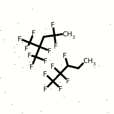 CC(F)(F)CC(F)(C(F)(F)F)C(F)(F)F.CCC(F)C(F)(F)C(F)(F)F